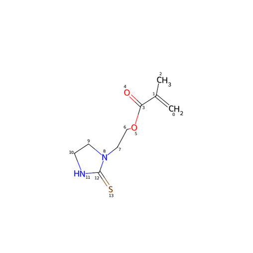 C=C(C)C(=O)OCCN1CCNC1=S